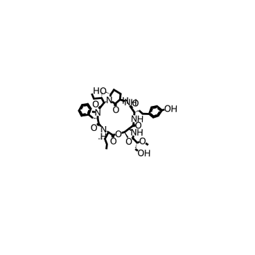 CC[C@H](C)[C@@H]1NC(=O)[C@H](Cc2ccccc2)N(C)C(=O)[C@H]([C@@H](C)CC)N2C(=O)[C@H](CC[C@H]2O)NC(=O)[C@H](CCc2ccc(O)cc2)NC(=O)[C@@H](NC(=O)[C@@H](CO)OC)[C@@H](C)OC1=O